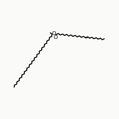 CCCCCCCCC=CCCCCCCCCCCCCCC(=O)OC(C)CCCCCCCCCCCCCCCCCCCCCCCCCCCCCCC